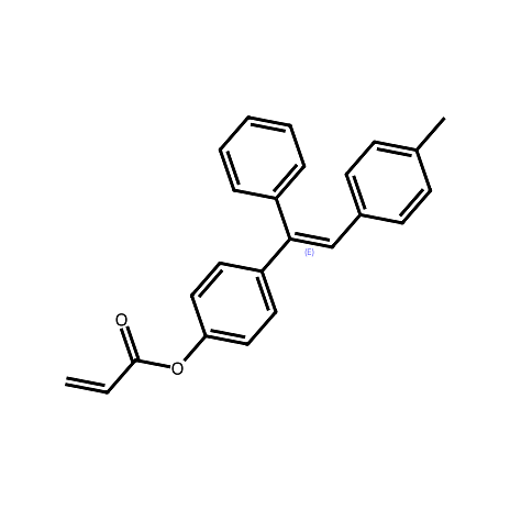 C=CC(=O)Oc1ccc(/C(=C/c2ccc(C)cc2)c2ccccc2)cc1